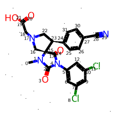 CN1C(=O)N(c2cc(Cl)cc(Cl)c2)C(=O)[C@]12CN(CC(=O)O)C[C@H]2c1ccc(C#N)cc1